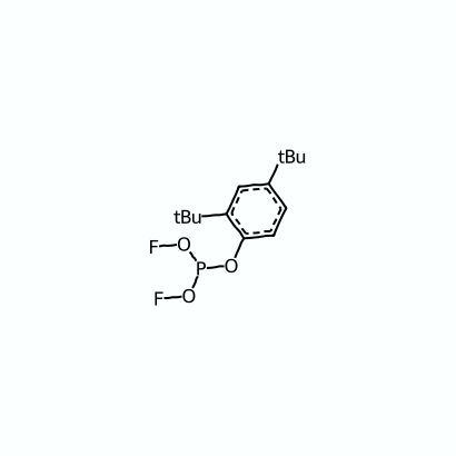 CC(C)(C)c1ccc(OP(OF)OF)c(C(C)(C)C)c1